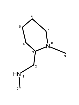 CNCC1CCCCN1C